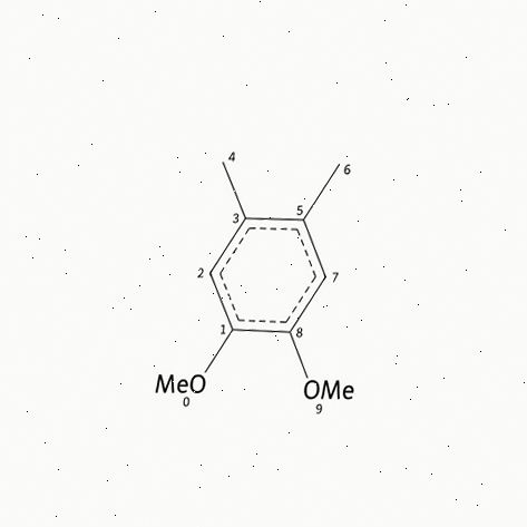 COc1cc(C)c(C)cc1OC